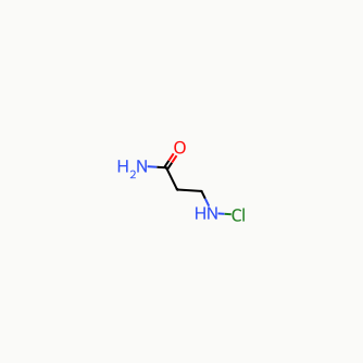 NC(=O)CCNCl